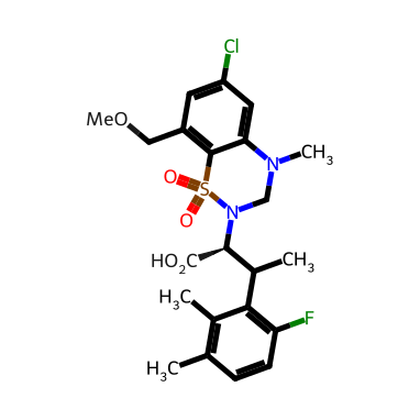 COCc1cc(Cl)cc2c1S(=O)(=O)N([C@H](C(=O)O)C(C)c1c(F)ccc(C)c1C)CN2C